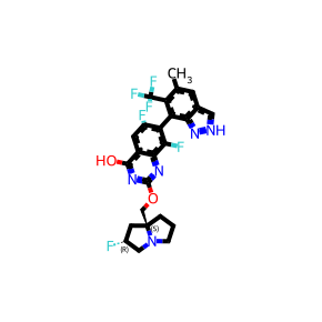 Cc1cc2c[nH]nc2c(-c2c(F)cc3c(O)nc(OC[C@@]45CCCN4C[C@H](F)C5)nc3c2F)c1C(F)(F)F